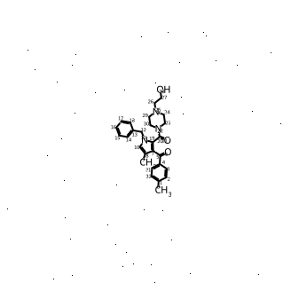 Cc1ccc(C(=O)c2c(C)cn(Cc3ccccc3)c2C(=O)N2CCN(CCO)CC2)cc1